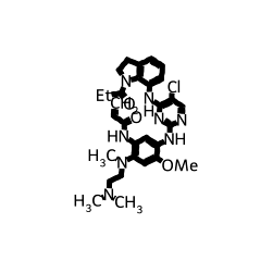 C=CC(=O)Nc1cc(Nc2ncc(Cl)c(Nc3cccc4c3N(C(=O)CC)CC4)n2)c(OC)cc1N(C)CCN(C)C